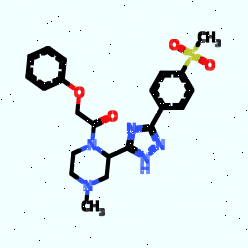 CN1CCN(C(=O)COc2ccccc2)C(c2nc(-c3ccc(S(C)(=O)=O)cc3)n[nH]2)C1